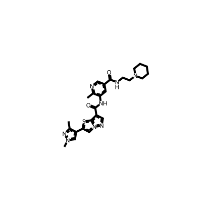 Cc1ncc(C(=O)NCCN2CCCCC2)cc1NC(=O)c1cnn2cc(-c3cn(C)nc3C)sc12